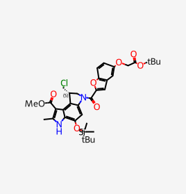 COC(=O)c1c(C)[nH]c2c(O[Si](C)(C)C(C)(C)C)cc3c(c12)[C@H](CCl)CN3C(=O)c1cc2cc(OCC(=O)OC(C)(C)C)ccc2o1